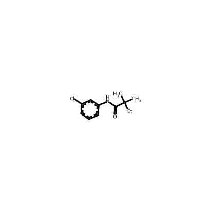 CCC(C)(C)C(=O)Nc1cccc(Cl)c1